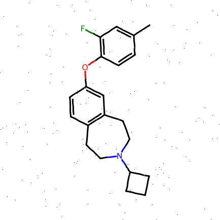 Cc1ccc(Oc2ccc3c(c2)CCN(C2CCC2)CC3)c(F)c1